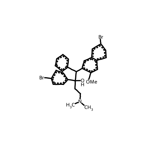 COc1cc2ccc(Br)cc2cc1C(c1ccccc1)C(O)(CCN(C)C)c1ccc(Br)cc1